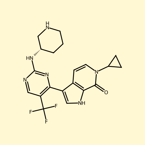 O=c1c2[nH]cc(-c3nc(N[C@H]4CCCNC4)ncc3C(F)(F)F)c2ccn1C1CC1